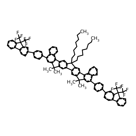 CCCCCCCCC1(CCCCCCCC)c2cc3c(cc2-c2cc4c(cc21)-c1c(cc(-c2ccc(-c5ccc6c(c5)C(C(F)(F)F)(C(F)(F)F)c5ccccc5-6)cc2)c2ccccc12)C4(C)C)C(C)(C)c1cc(-c2ccc(-c4ccc5c(c4)C(C(F)(F)F)(C(F)(F)F)c4ccccc4-5)cc2)c2ccccc2c1-3